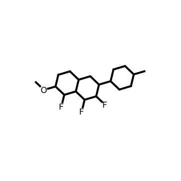 COC1CCC2CC(C3CCC(C)CC3)C(F)C(F)C2C1F